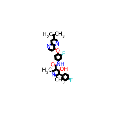 C=C(C)c1cnc2c(Oc3ccc(NC(=O)c4c(C)nc(C)c(-c5ccc(F)cc5)c4O)cc3F)ccnc2c1